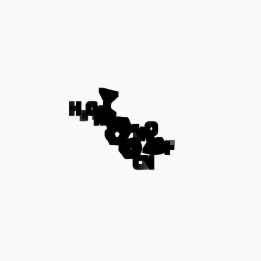 Cn1nc(C23CCCC(C2)C(CN(C(=O)C24CC(F)C(C2)C4)c2cccc(C#N)c2)CC3)cc1C1CC1